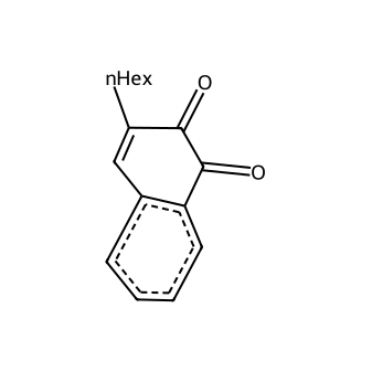 CCCCCCC1=Cc2ccccc2C(=O)C1=O